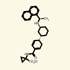 CCOC(=O)C1(NC(=O)C2=CCC([C@H]3CCC[C@H](N[C@H](C)c4cccc5ccccc45)C3)C=C2)CC1